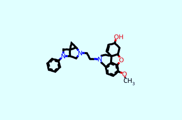 COc1ccc2c3c1OC1CC(O)C=CC31CCN(CCN1CC3N(c4ccccc4)CC34CC14)C2